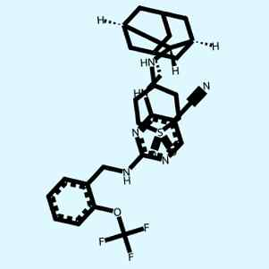 N#Cc1cnc(NCc2ccccc2OC(F)(F)F)nc1NC[C@@]12CC3C[C@H](C1)[C@@H](NC1CCS(=O)(=O)CC1)[C@@H](C3)C2